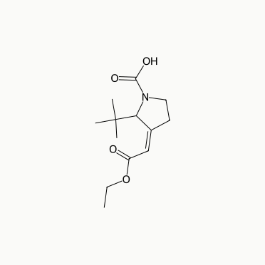 CCOC(=O)/C=C1/CCN(C(=O)O)C1C(C)(C)C